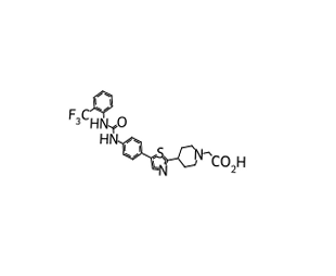 O=C(O)CN1CCC(c2ncc(-c3ccc(NC(=O)Nc4ccccc4C(F)(F)F)cc3)s2)CC1